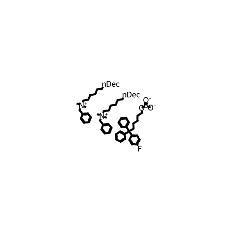 CCCCCCCCCCCCCCCC[N+](C)(C)Cc1ccccc1.CCCCCCCCCCCCCCCC[N+](C)(C)Cc1ccccc1.[O-]B([O-])OCCCCCC(c1ccccc1)(c1ccccc1)c1ccc(F)cc1